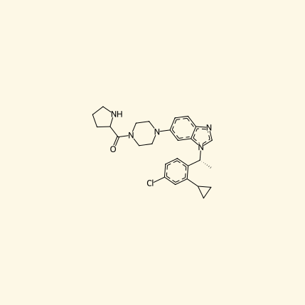 C[C@H](c1ccc(Cl)cc1C1CC1)n1cnc2ccc(N3CCN(C(=O)C4CCCN4)CC3)cc21